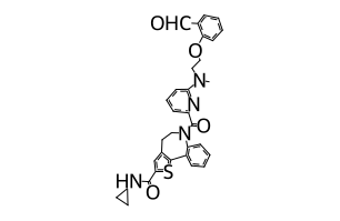 CN(CCOc1ccccc1C=O)c1cccc(C(=O)N2CCc3cc(C(=O)NC4CC4)sc3-c3ccccc32)n1